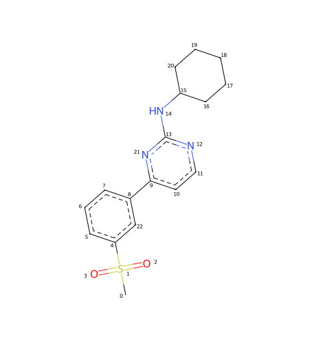 CS(=O)(=O)c1cccc(-c2ccnc(NC3CCCCC3)n2)c1